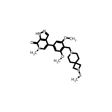 COc1cc(-c2cn(C)c(=O)c3[nH]ncc23)cc(OC)c1CN1CCC2(CC1)CN(SC)C2